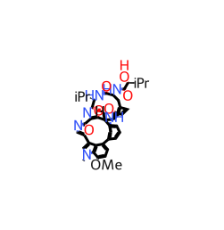 COc1ccc2c3c(cn(C)c13)-c1cnc(o1)-c1nc3oc1C14c5cc(ccc5O[C@@H]1Nc1c-2cccc14)CC(NC(=O)[C@@H](O)C(C)C)C(=O)N[C@H]3C(C)C